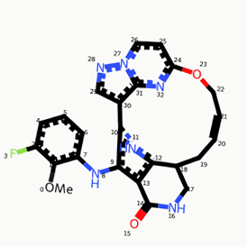 COc1c(F)cccc1Nc1c2[nH]c3c1C(=O)NCC3C/C=C\COc1ccn3ncc-2c3n1